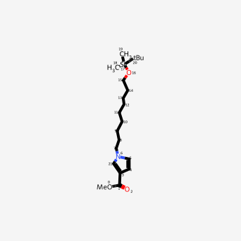 COC(=O)c1ccn(CCCCCCCCCO[Si](C)(C)C(C)(C)C)c1